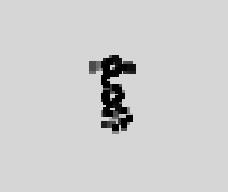 CC(C)[Si](C(C)C)(C(C)C)C(C)c1ccc(Cc2cc(Br)ccc2F)cc1